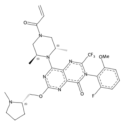 C=CC(=O)N1C[C@H](C)N(c2nc(OC[C@@H]3CCCN3C)nc3c(=O)n(-c4c(F)cccc4OC)c(C(F)(F)F)nc23)[C@@H](C)C1